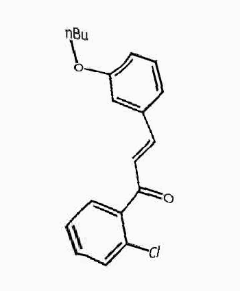 CCCCOc1cccc(/C=C/C(=O)c2ccccc2Cl)c1